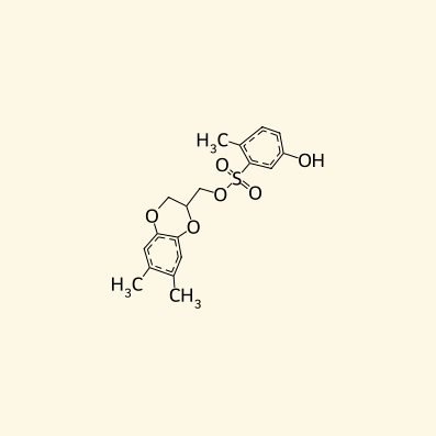 Cc1cc2c(cc1C)OC(COS(=O)(=O)c1cc(O)ccc1C)CO2